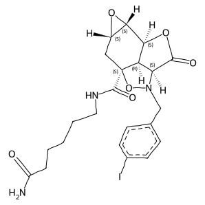 NC(=O)CCCCCNC(=O)[C@]12C[C@@H]3O[C@@H]3[C@H]3OC(=O)[C@H]([C@H]31)N(Cc1ccc(I)cc1)O2